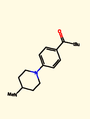 CNC1CCN(c2ccc(C(=O)C(C)(C)C)cc2)CC1